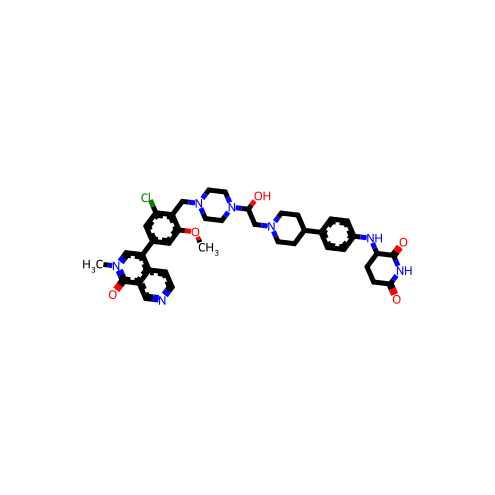 COc1cc(-c2cn(C)c(=O)c3cnccc23)cc(Cl)c1CN1CCN(C(O)CN2CCC(c3ccc(NC4CCC(=O)NC4=O)cc3)CC2)CC1